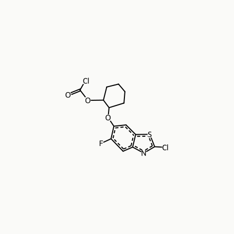 O=C(Cl)OC1CCCCC1Oc1cc2sc(Cl)nc2cc1F